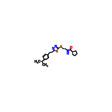 CC(C)c1ccc(CCc2nnc(SCCNC(=O)C3CCCC3)s2)cc1